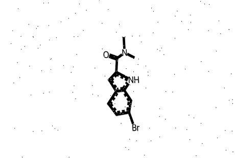 CN(C)C(=O)c1cc2ccc(Br)cc2[nH]1